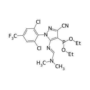 CCOP(OCC)c1c(C#N)nn(-c2c(Cl)cc(C(F)(F)F)cc2Cl)c1N=CN(C)C